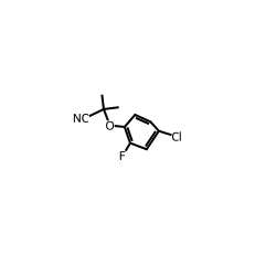 CC(C)(C#N)Oc1ccc(Cl)cc1F